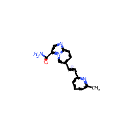 Cc1cccc(/C=C/c2ccc3ncc(C(N)=O)n3c2)n1